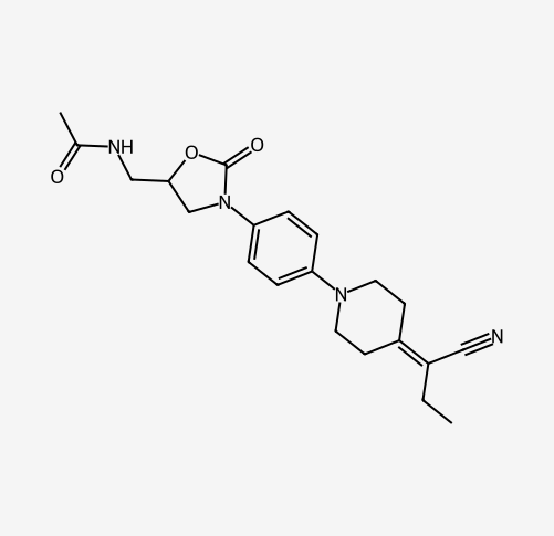 CCC(C#N)=C1CCN(c2ccc(N3CC(CNC(C)=O)OC3=O)cc2)CC1